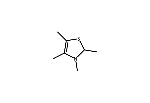 CC1=C(C)N(C)C(C)S1